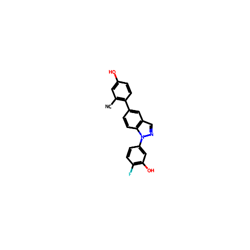 N#Cc1cc(O)ccc1-c1ccc2c(cnn2-c2ccc(F)c(O)c2)c1